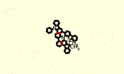 CC1(C)c2ccccc2-c2ccc(N(c3ccccc3-c3ccccc3)c3c(-c4ccc5c(c4)c4ccccc4n5-c4ccccc4)ccc4c3sc3ccccc34)cc21